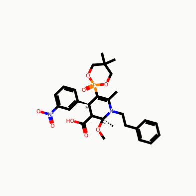 CO[C@@]1(C)C(C(=O)O)[C@@H](c2cccc([N+](=O)[O-])c2)C(P2(=O)OCC(C)(C)CO2)=C(C)N1CCc1ccccc1